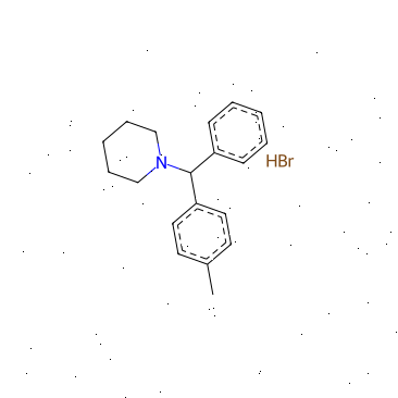 Br.Cc1ccc(C(c2ccccc2)N2CCCCC2)cc1